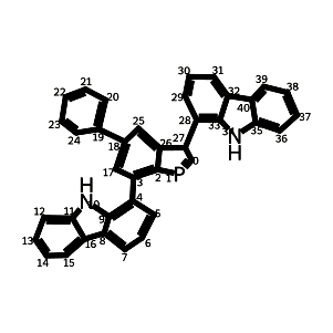 C1=Pc2c(-c3cccc4c3[nH]c3ccccc34)cc(-c3ccccc3)cc2C1c1cccc2c1[nH]c1ccccc12